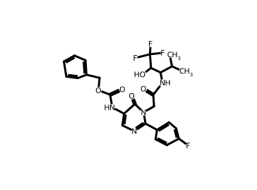 CC(C)C(NC(=O)Cn1c(-c2ccc(F)cc2)ncc(NC(=O)OCc2ccccc2)c1=O)C(O)C(F)(F)F